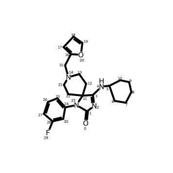 O=C1N=C(NC2CCCCC2)C2(CCN(Cc3ccco3)CC2)N1c1cccc(F)c1